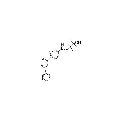 CC(C)(O)C(C)(C)OBc1ccc(-c2cccc(-c3ccccc3)c2)nc1